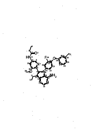 CCC(=O)Nc1cnc(-c2c(CC)c3ncnc(N)c3n2-c2ccc(Oc3nccc(C)n3)c(F)c2)c(OC)c1